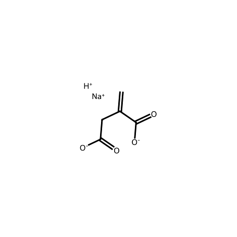 C=C(CC(=O)[O-])C(=O)[O-].[H+].[Na+]